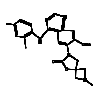 COc1cc2ncnc(Nc3ccc(C)cc3C)c2cc1N1CC2(CN(C)C2)OC1=O